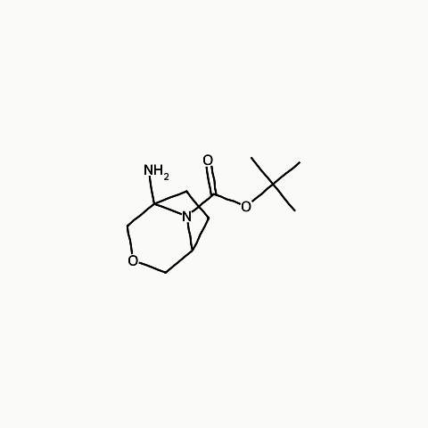 CC(C)(C)OC(=O)N1C2CCC1(N)COC2